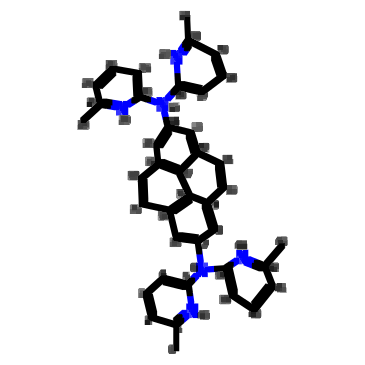 Cc1cccc(N(c2cc3ccc4cc(N(c5cccc(C)n5)c5cccc(C)n5)cc5ccc(c2)c3c45)c2cccc(C)n2)n1